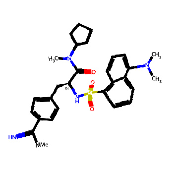 CNC(=N)c1ccc(C[C@H](NS(=O)(=O)c2cccc3c(N(C)C)cccc23)C(=O)N(C)C2CCCC2)cc1